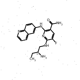 CC[C@H](N)CNc1nc(Nc2ccc3ncccc3c2)c(C(N)=O)cc1F